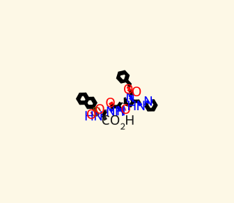 O=C(NCC(NS(=O)(=O)c1ccc2ccccc2c1)C(=O)O)C1=NO[C@]2(C1)CC(CNc1ccccn1)N(C(=O)OCc1ccccc1)C2